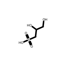 O=S(=O)(O)[CH]C(O)[CH]O